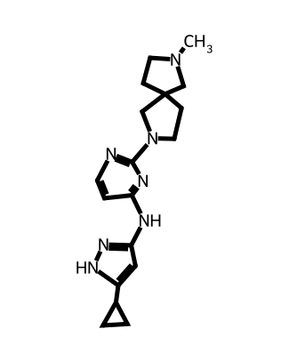 CN1CCC2(CCN(c3nccc(Nc4cc(C5CC5)[nH]n4)n3)C2)C1